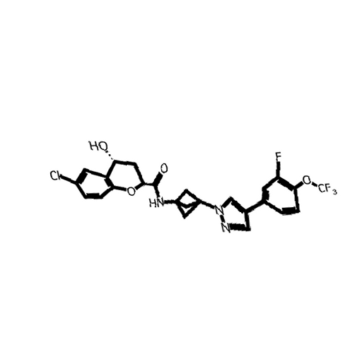 O=C(NC12CC(n3cc(-c4ccc(OC(F)(F)F)c(F)c4)cn3)(C1)C2)[C@@H]1C[C@@H](O)c2cc(Cl)ccc2O1